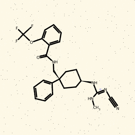 CN/C(=N\C#N)N[C@H]1CC[C@](CNC(=O)c2ccccc2OC(F)(F)F)(c2ccccc2)CC1